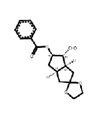 O=C[C@@H]1[C@H]2CC3(C[C@H]2C[C@H]1OC(=O)c1ccccc1)OCCO3